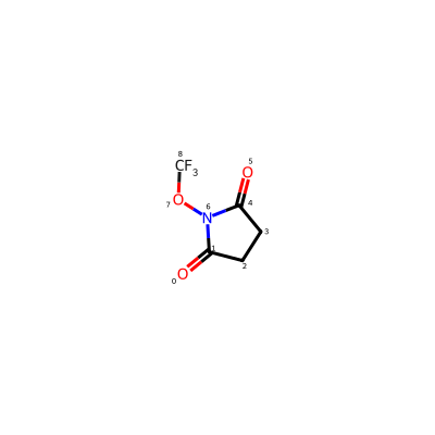 O=C1CCC(=O)N1OC(F)(F)F